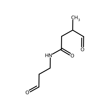 CC(C=O)CC(=O)NCCC=O